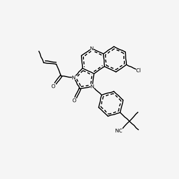 CC=CC(=O)n1c(=O)n(-c2ccc(C(C)(C)C#N)cc2)c2c3cc(Cl)ccc3ncc21